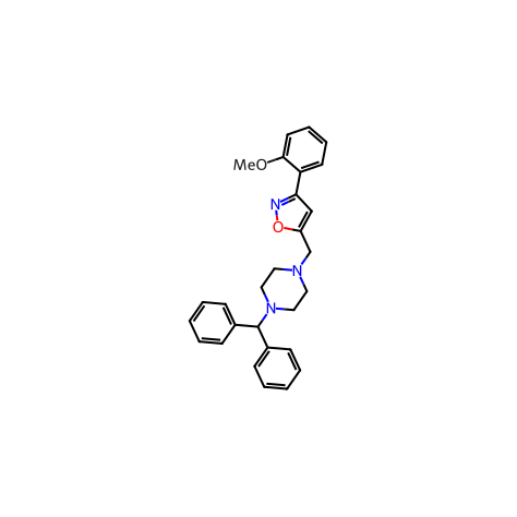 COc1ccccc1-c1cc(CN2CCN(C(c3ccccc3)c3ccccc3)CC2)on1